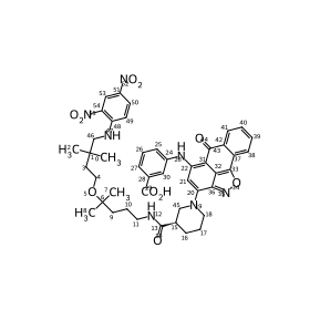 CC(C)(CCOC(C)(C)CCCNC(=O)[C@@H]1CCCN(c2cc(Nc3cccc(C(=O)O)c3)c3c4c(onc24)-c2ccccc2C3=O)C1)CNc1ccc([N+](=O)[O-])cc1[N+](=O)[O-]